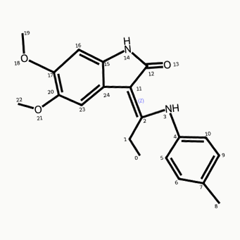 CC/C(Nc1ccc(C)cc1)=C1/C(=O)Nc2cc(OC)c(OC)cc21